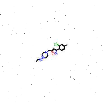 C/C=N/N1CCN(Cc2cc(-c3ccc(C)cc3Cl)no2)CC1